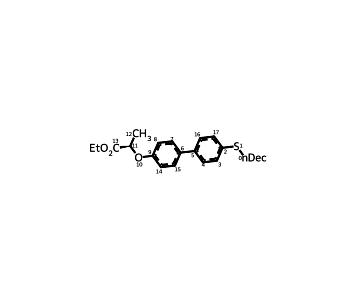 CCCCCCCCCCSc1ccc(-c2ccc(O[C@H](C)C(=O)OCC)cc2)cc1